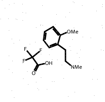 CNCCc1ccccc1OC.O=C(O)C(F)(F)F